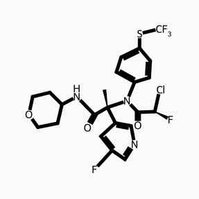 C[C@](C(=O)NC1CCOCC1)(c1cncc(F)c1)N(C(=O)[C@H](F)Cl)c1ccc(SC(F)(F)F)cc1